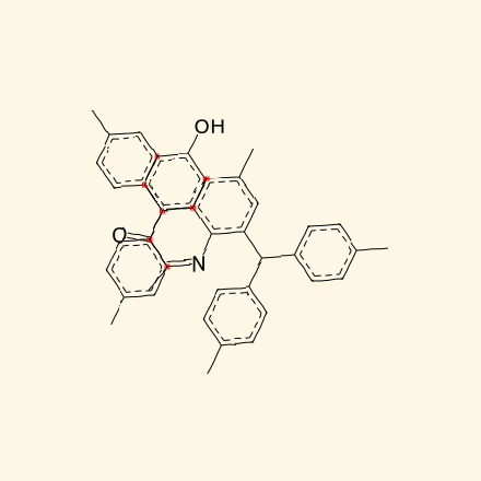 CC(=Nc1c(C(c2ccc(C)cc2)c2ccc(C)cc2)cc(C)cc1C(c1ccc(C)cc1)c1ccc(C)cc1)C(=O)c1ccc(O)cc1